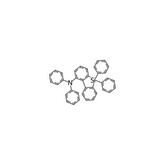 c1ccc(N(c2ccccc2)c2cccc3c2-c2ccccc2[Si]3(c2ccccc2)c2ccccc2)cc1